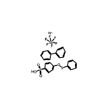 O=S(=O)(O)c1ccc(OSc2ccccc2)cc1.[F][Sb-]([F])([F])([F])([F])[F].[H+].c1ccc(-c2ccccc2)cc1